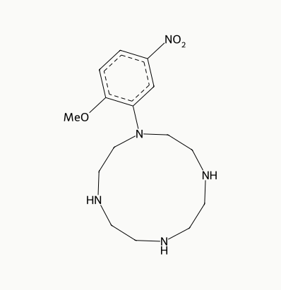 COc1ccc([N+](=O)[O-])cc1N1CCNCCNCCNCC1